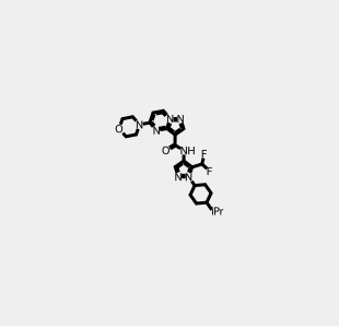 CC(C)C1CCC(n2ncc(NC(=O)c3cnn4ccc(N5CCOCC5)nc34)c2C(F)F)CC1